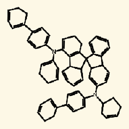 C1=CCCC(c2ccc(N(C3=CCCC=C3)C3=CCCC4=C3C3C=CC=CC3C43c4ccccc4C4C=CC(N(c5ccc(C6=CC=CCC6)cc5)C5CC=CCC5)=CC43)cc2)=C1